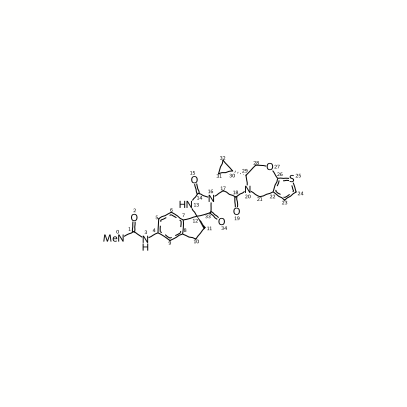 CNC(=O)Nc1ccc2c(c1)CC[C@]21NC(=O)N(CC(=O)N2Cc3ccsc3OC[C@H]2C2CC2)C1=O